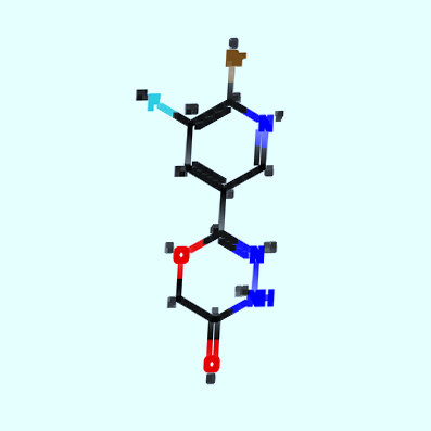 O=C1COC(c2cnc(Br)c(F)c2)=NN1